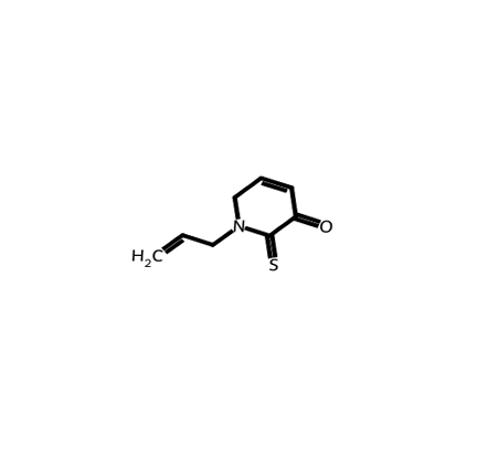 C=CCN1CC=CC(=O)C1=S